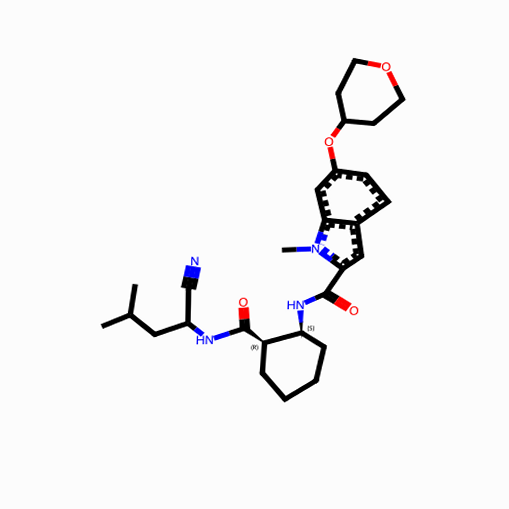 CC(C)CC(C#N)NC(=O)[C@@H]1CCCC[C@@H]1NC(=O)c1cc2ccc(OC3CCOCC3)cc2n1C